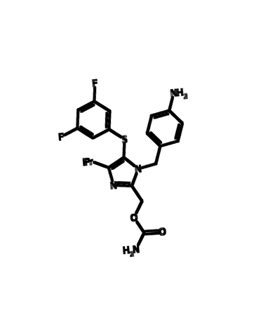 CC(C)c1nc(COC(N)=O)n(Cc2ccc(N)cc2)c1Sc1cc(F)cc(F)c1